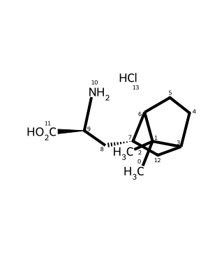 CC1(C)C2CCC1[C@@H](C[C@H](N)C(=O)O)C2.Cl